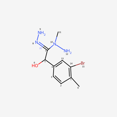 Cc1ccc(C(O)/C(=N/N)N(C)N)cc1Br